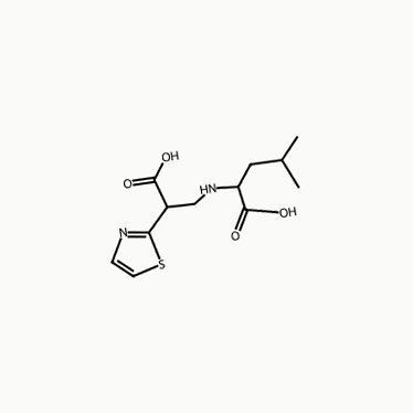 CC(C)CC(NCC(C(=O)O)c1nccs1)C(=O)O